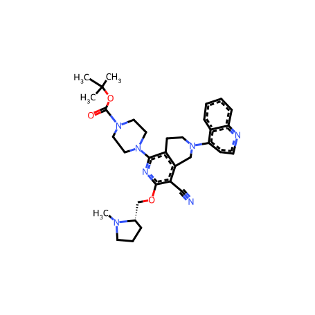 CN1CCC[C@H]1COc1nc(N2CCN(C(=O)OC(C)(C)C)CC2)c2c(c1C#N)CN(c1ccnc3ccccc13)CC2